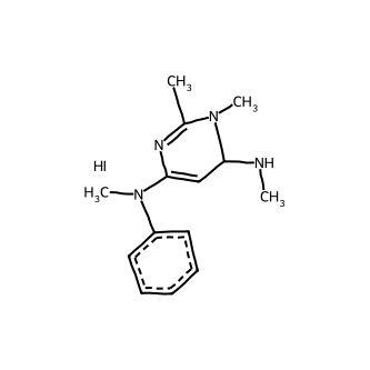 CNC1C=C(N(C)c2ccccc2)N=C(C)N1C.I